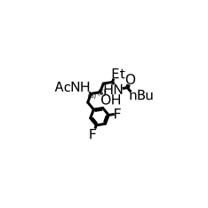 CCCCC(=O)NC(CC)C[C@H](O)[C@H](Cc1cc(F)cc(F)c1)NC(C)=O